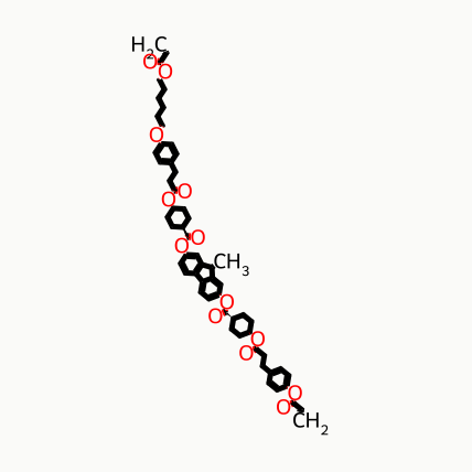 C=CC(=O)OCCCCCCOc1ccc(CCC(=O)O[C@H]2CC[C@H](C(=O)Oc3ccc4c(c3)C(C)c3cc(OC(=O)[C@H]5CC[C@H](OC(=O)CCc6ccc(OC(=O)C=C)cc6)CC5)ccc3-4)CC2)cc1